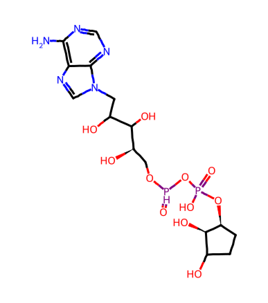 Nc1ncnc2c1ncn2CC(O)C(O)[C@H](O)CO[PH](=O)OP(=O)(O)O[C@H]1CCC(O)[C@H]1O